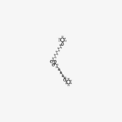 O=C(CCCCCCCCCOc1ccccc1)OC(=O)CCCCCCCCCOc1ccccc1